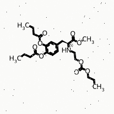 CCCOC(=O)OCCN[C@@H](Cc1ccc(OC(=O)CCC)c(OC(=O)CCC)c1)C(=O)OC